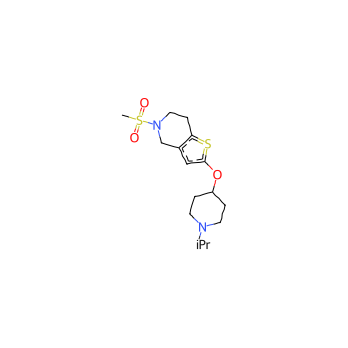 CC(C)N1CCC(Oc2cc3c(s2)CCN(S(C)(=O)=O)C3)CC1